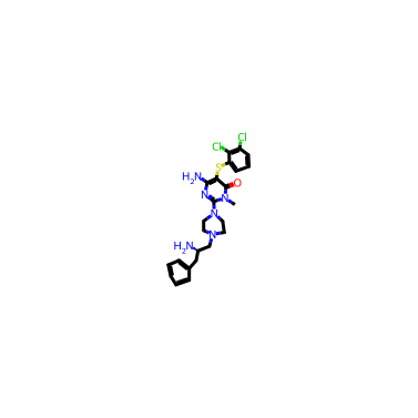 Cn1c(N2CCN(C[C@H](N)Cc3ccccc3)CC2)nc(N)c(Sc2cccc(Cl)c2Cl)c1=O